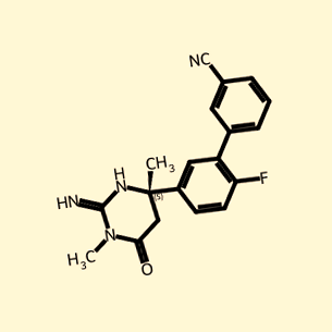 CN1C(=N)N[C@](C)(c2ccc(F)c(-c3cccc(C#N)c3)c2)CC1=O